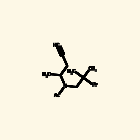 C#CCC(C)N(CC(C)(C)C(C)C)C(C)=O